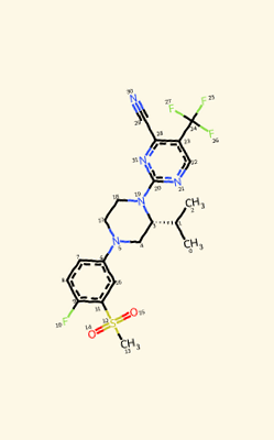 CC(C)[C@@H]1CN(c2ccc(F)c(S(C)(=O)=O)c2)CCN1c1ncc(C(F)(F)F)c(C#N)n1